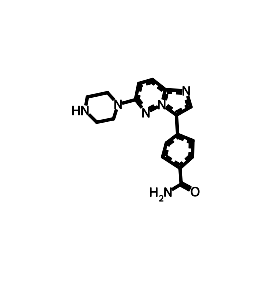 NC(=O)c1ccc(-c2cnc3ccc(N4CCNCC4)nn23)cc1